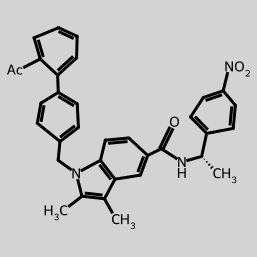 CC(=O)c1ccccc1-c1ccc(Cn2c(C)c(C)c3cc(C(=O)N[C@@H](C)c4ccc([N+](=O)[O-])cc4)ccc32)cc1